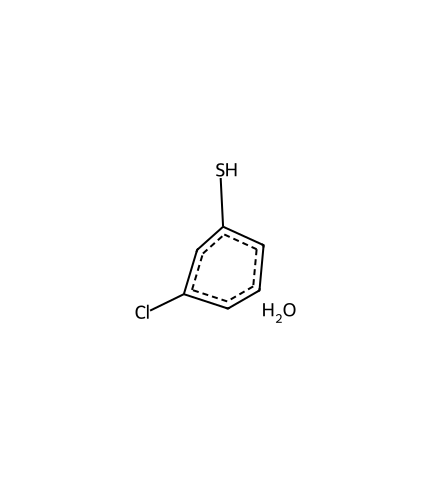 O.Sc1cccc(Cl)c1